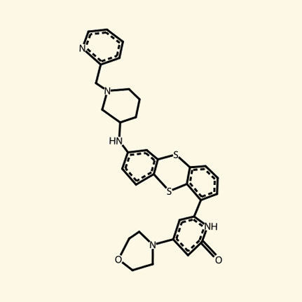 O=c1cc(N2CCOCC2)cc(-c2cccc3c2Sc2ccc(NC4CCCN(Cc5ccccn5)C4)cc2S3)[nH]1